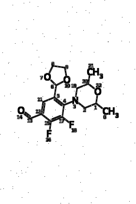 CC1CN(c2c(C3OCCO3)cc(C=O)c(F)c2F)CC(C)O1